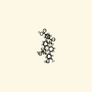 COC(=O)C12CCC(C(=O)N(C[C@H]3CC[C@H](c4ccc(OC)c(C)c4)CC3)c3cccc(-c4cnc(OC)s4)c3)(CC1)CC2